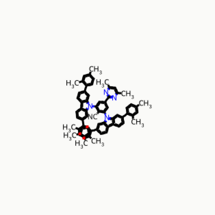 Cc1ccc(-c2ccc3c4ccc(-c5ccc(C)cc5C)cc4n(-c4cc(-c5nc(C)cc(C)n5)cc(-n5c6cc(-c7ccc(C)cc7C)ccc6c6ccc(-c7ccc(C)cc7C)cc65)c4C#N)c3c2)c(C)c1